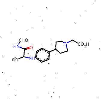 CCCC(Nc1ccc(C2CCN(CC(=O)O)CC2)cc1)C(=O)NC=O